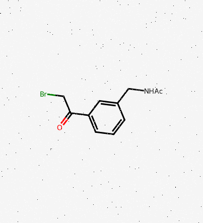 CC(=O)NCc1cccc(C(=O)CBr)c1